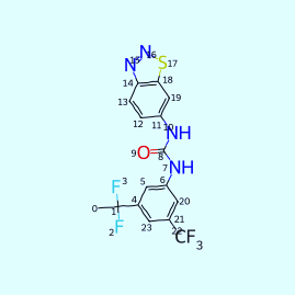 CC(F)(F)c1cc(NC(=O)Nc2ccc3nnsc3c2)cc(C(F)(F)F)c1